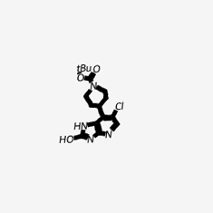 CC(C)(C)OC(=O)N1CCC(c2c(Cl)cnc3nc(O)[nH]c23)CC1